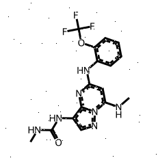 CNC(=O)Nc1cnn2c(NC)cc(Nc3ccccc3OC(F)(F)F)nc12